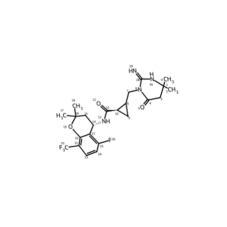 CC1(C)CC(=O)N(CC2C[C@H]2C(=O)N[C@H]2CC(C)(C)Oc3c(C(F)(F)F)ccc(F)c32)C(=N)N1